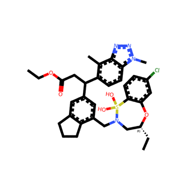 CCOC(=O)CC(c1cc2c(c(CN3C[C@@H](CC)Oc4cc(Cl)ccc4S3(O)O)c1)CCC2)c1ccc2c(nnn2C)c1C